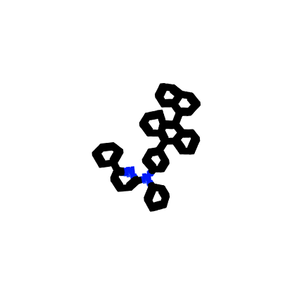 c1ccc(-c2cccc(N(c3ccccc3)c3ccc(-c4c5ccccc5c(-c5cccc6ccccc56)c5ccccc45)cc3)n2)cc1